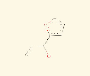 C=CC([O])c1ccco1